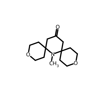 CN1C2(CCOCC2)CC(=O)CC12CCOCC2